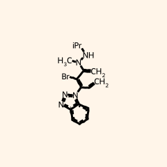 C=C/C(=C(/Br)C(=C)N(C)NC(C)C)n1nnc2ccccc21